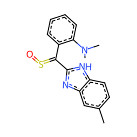 Cc1ccc2[nH]c(C(=S=O)c3ccccc3N(C)C)nc2c1